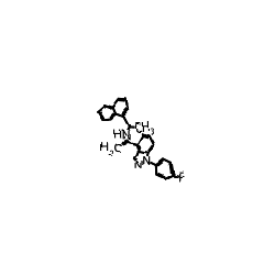 C=C(NC(C)c1cccc2ccccc12)c1cccc2c1cnn2-c1ccc(F)cc1